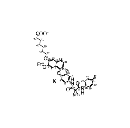 CCOc1cc2c(Oc3ccc(NC(=O)C4(C(=O)Nc5ccc(F)cc5)CC4)cc3F)ccnc2cc1OCCCCCCC(=O)[O-].[K+]